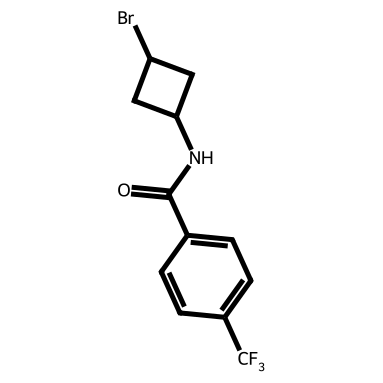 O=C(NC1CC(Br)C1)c1ccc(C(F)(F)F)cc1